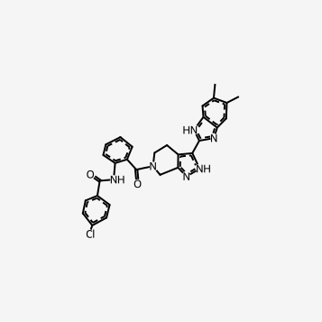 Cc1cc2nc(-c3[nH]nc4c3CCN(C(=O)c3ccccc3NC(=O)c3ccc(Cl)cc3)C4)[nH]c2cc1C